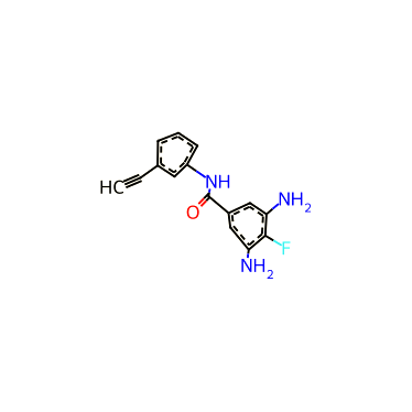 C#Cc1cccc(NC(=O)c2cc(N)c(F)c(N)c2)c1